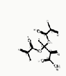 C=C(C)C(=O)OC(C)(OC(=O)C(=C)C)C(=C)C(=O)O